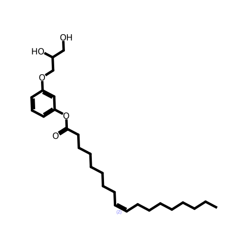 CCCCCCCC/C=C\CCCCCCCC(=O)Oc1cccc(OCC(O)CO)c1